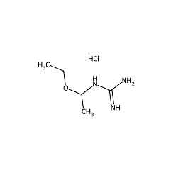 CCOC(C)NC(=N)N.Cl